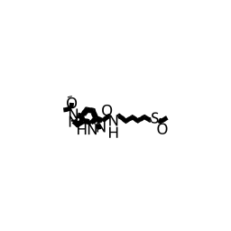 COC(C)n1ncc2c3[nH]nc(C(=O)NCCCCCCSC(C)=O)c3ccc21